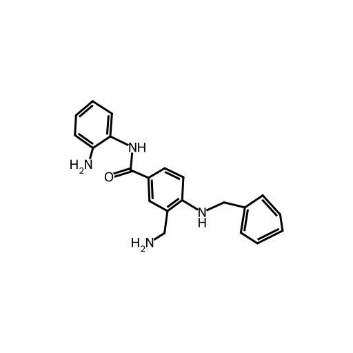 NCc1cc(C(=O)Nc2ccccc2N)ccc1NCc1ccccc1